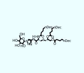 CCCCCCCCCCCCCC(=O)N[C@H](CSC[C@@H](COC(=O)CCCCCCCCCCCCC)OC(=O)CCCCCCCCCCCCC)C(=O)Nc1cn([C@H]2OC(CO)C(O)C(O)C2O)nn1